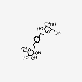 OC[C@H]1O[C@H](CCc2ccc(CC[C@H]3O[C@H](CO)[C@@H](O)[C@H](O)[C@H]3O)cc2)[C@@H](O)[C@@H](O)[C@@H]1O